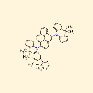 CC1(C)c2ccccc2-c2cc3c(cc21)C(C)(C)c1ccccc1N3c1ccc2cc(N3c4ccccc4C(C)(C)c4ccccc43)c3cccc4ccc1c2c43